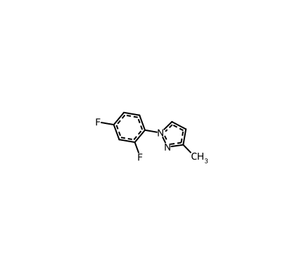 Cc1ccn(-c2ccc(F)cc2F)n1